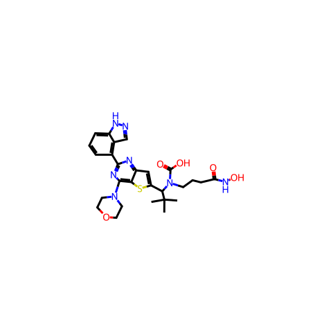 CC(C)(C)C(c1cc2nc(-c3cccc4[nH]ncc34)nc(N3CCOCC3)c2s1)N(CCCC(=O)NO)C(=O)O